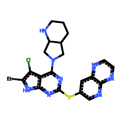 CCc1[nH]c2nc(Sc3cnc4nccnc4c3)nc(N3CC4CCCNC4C3)c2c1Cl